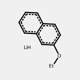 CCOc1ccc2ccccc2c1.[LiH]